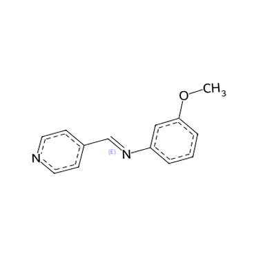 COc1cccc(/N=C/c2ccncc2)c1